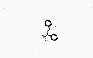 C[C@@H](C(=O)O)N(OCc1ccccc1)c1ccccc1